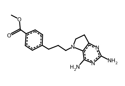 COC(=O)c1ccc(CCCN2CCc3nc(N)nc(N)c32)cc1